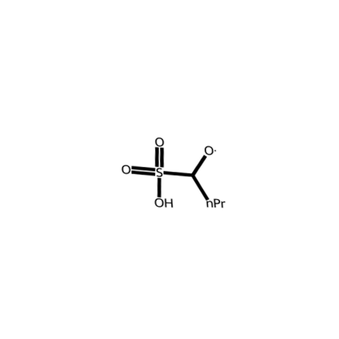 CCCC([O])S(=O)(=O)O